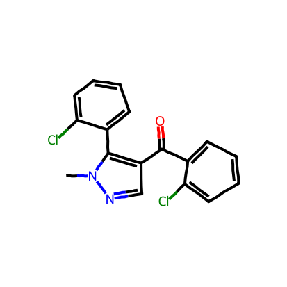 Cn1ncc(C(=O)c2ccccc2Cl)c1-c1ccccc1Cl